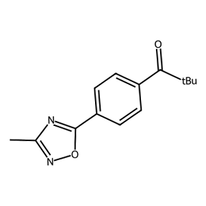 Cc1noc(-c2ccc(C(=O)C(C)(C)C)cc2)n1